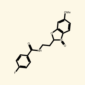 COc1ccc2c(c1)OC(CCNC(=O)c1ccc(F)cc1)[N+]2=O